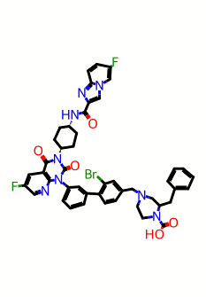 O=C(N[C@H]1CC[C@@H](n2c(=O)c3cc(F)cnc3n(-c3cccc(-c4ccc(CN5CCN(C(=O)O)C(Cc6ccccc6)C5)cc4Br)c3)c2=O)CC1)c1cn2cc(F)ccc2n1